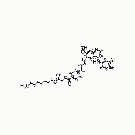 CCCCCCCCOC(=O)CCC(=O)N1CCN(CCCOc2cc3c(Nc4ccc(F)c(Cl)c4)ncnc3cc2OC)CC1